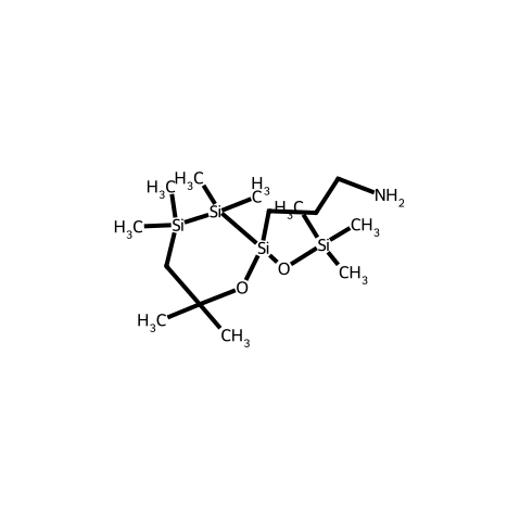 CC1(C)C[Si](C)(C)[Si](C)(C)[Si](CCCN)(O[Si](C)(C)C)O1